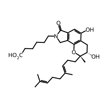 CC(C)=CCC/C(C)=C/CC[C@]1(C)Oc2c(c(O)cc3c2CN(CCCCCC(=O)O)C3=O)C[C@@H]1O